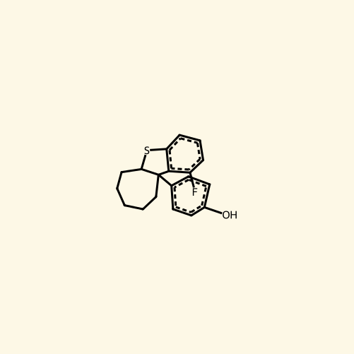 Oc1ccc(C23CCCCCC2Sc2cccc(F)c23)cc1